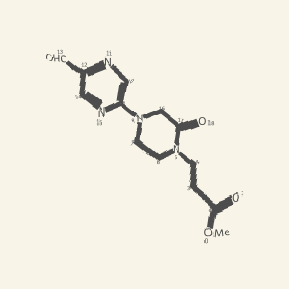 COC(=O)CCN1CCN(c2cnc(C=O)cn2)CC1=O